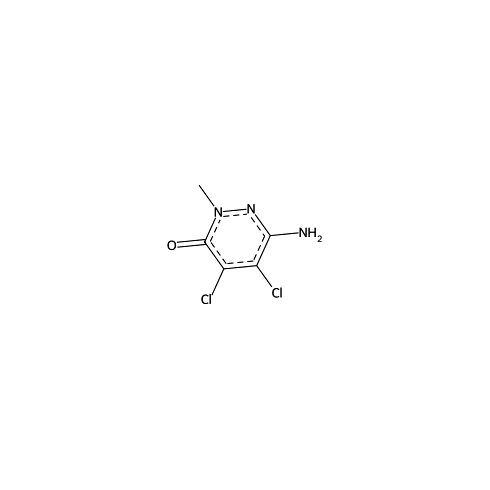 Cn1nc(N)c(Cl)c(Cl)c1=O